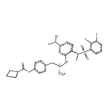 CCN(CC)c1ncc(N(C)S(=O)(=O)c2cccc(F)c2F)c(N[C@@H](Cc2ccc(OC(=O)N3CCC3)cc2)C(=O)O)n1